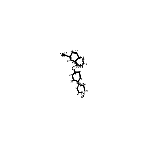 CN1CCN(C2CCC(Oc3ncnc4ccc(C#N)cc34)CC2)CC1